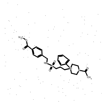 COC(=O)c1ccc(CNS(=O)(=O)CCC[N+]2(c3ccccc3)CCN(C(C)=O)CC2)cc1